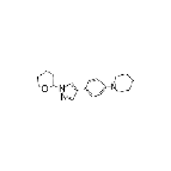 c1cc(N2CCCCC2)ccc1-c1cnn(C2CCCCO2)c1